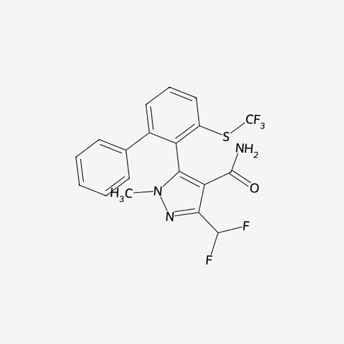 Cn1nc(C(F)F)c(C(N)=O)c1-c1c(SC(F)(F)F)cccc1-c1ccccc1